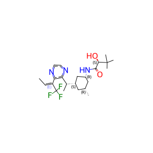 C/C=C(\c1nccnc1C(C)[C@H]1C[C@@H](C)C[C@@H](NC(=O)[C@@H](O)C(C)(C)C)C1)C(F)(F)F